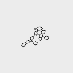 c1ccc(-c2c3ccccc3c(-c3cc(-c4ccc5c6cc7ccccc7cc6n(-c6ccccc6)c5c4)cc4oc5ccccc5c34)c3ccccc23)cc1